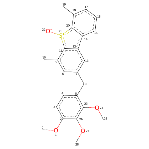 COc1ccc(Cc2cc(C)c3c(c2)c2cccc(C)c2[s+]3[O-])c(OC)c1OC